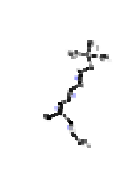 C/C=C/C(Br)=C\C=C\N=N\SC(C)(C)C